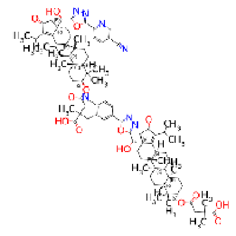 CCC[C@@H]1[C@@]2(C)CC[C@H](OC(=O)CC(C)(Cc3cc(-c4nnc(C(O)[C@@]56CC[C@]7(C)[C@H](CCC8[C@@]9(C)CC[C@H](OC(=O)CC(C)(C)C(=O)O)C(C)(C)[C@@H]9CC[C@]87C)C5=C(C(C)C)C(=O)C6)o4)ccc3C#N)C(=O)O)C(C)(C)[C@@H]2CC[C@@]1(C)[C@]1(C)CC[C@@]2([C@@H](O)c3nnc(-c4ccc(C#N)cn4)o3)CC(=O)C(C(C)C)=C2C1